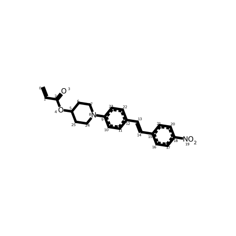 C=CC(=O)OC1CCN(c2ccc(C=Cc3ccc([N+](=O)[O-])cc3)cc2)CC1